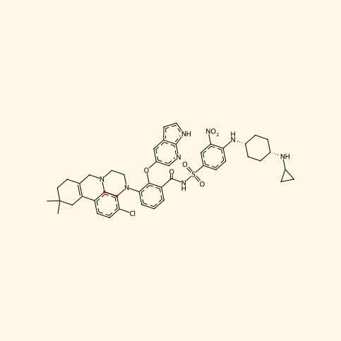 CC1(C)CCC(CN2CCN(c3cccc(C(=O)NS(=O)(=O)c4ccc(N[C@H]5CC[C@@H](NC6CC6)CC5)c([N+](=O)[O-])c4)c3Oc3cnc4[nH]ccc4c3)CC2)=C(c2ccc(Cl)cc2)C1